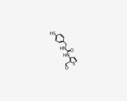 O=Cc1sccc1NC(=O)NCc1ccc(S)cc1